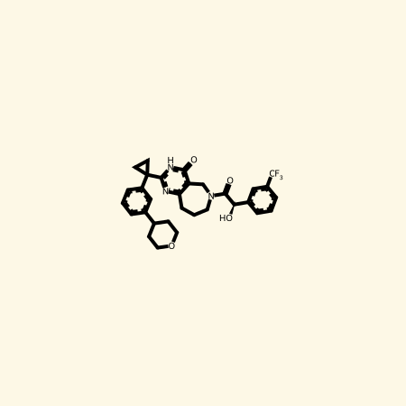 O=C([C@H](O)c1cccc(C(F)(F)F)c1)N1CCCc2nc(C3(c4cccc(C5CCOCC5)c4)CC3)[nH]c(=O)c2C1